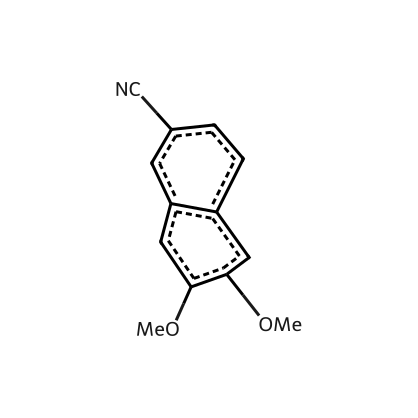 COc1cc2ccc(C#N)cc2cc1OC